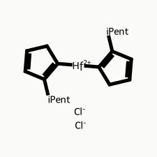 CCCC(C)C1=[C]([Hf+2][C]2=C(C(C)CCC)C=CC2)CC=C1.[Cl-].[Cl-]